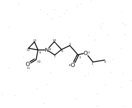 CCOC(=O)CC1CN(C2(C=O)CC2)C1